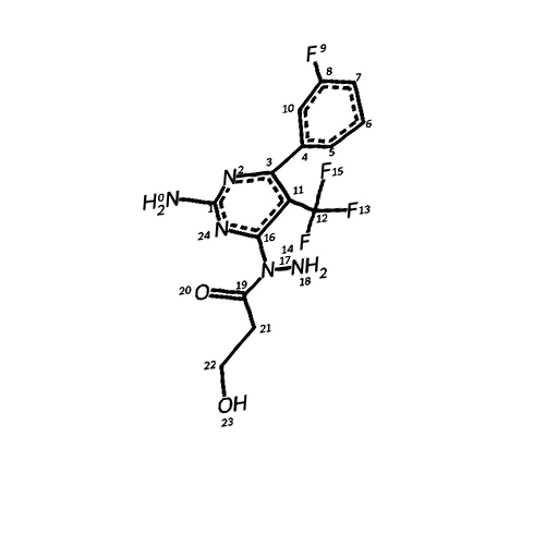 Nc1nc(-c2cccc(F)c2)c(C(F)(F)F)c(N(N)C(=O)CCO)n1